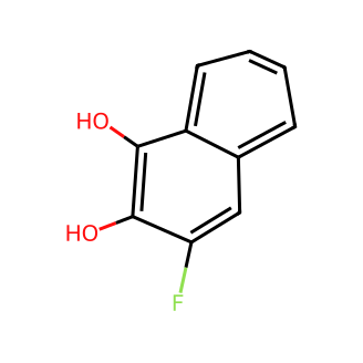 Oc1c(F)cc2ccccc2c1O